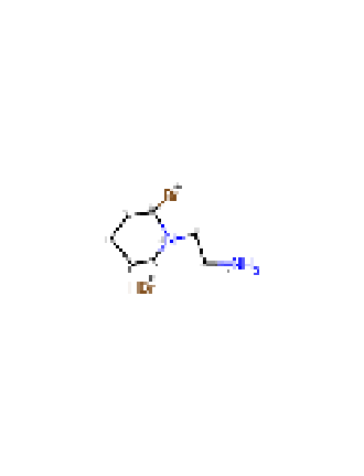 Br.NCCN1CCCCC1Br